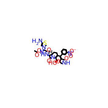 CC(=O)ON=C(C(=O)N[C@@H]1C(=O)N2C(C(=O)O)=C(C(=C3CCNC3=O)c3cccc([N+](=O)[O-])c3)CC[C@H]12)N1C=C(N)SC1